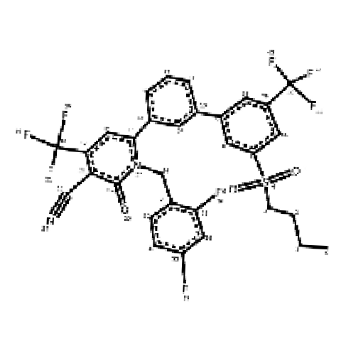 CCCCS(=O)(=O)c1cc(-c2cccc(-c3cc(C(F)(F)F)c(C#N)c(=O)n3Cc3ccc(F)cc3F)c2)cc(C(F)(F)F)c1